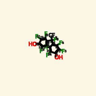 Oc1c(F)c(F)c(C(F)(c2c(F)c(F)c(O)c(F)c2F)C(F)(F)F)c(F)c1F